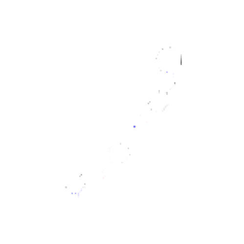 O=C(Nc1cccnc1)c1ccc(CNS(=O)(=O)c2ccc(CN3CCCCCC3)cc2)cc1